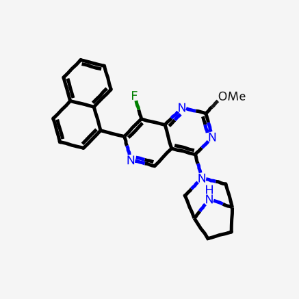 COc1nc(N2CC3CCC(C2)N3)c2cnc(-c3cccc4ccccc34)c(F)c2n1